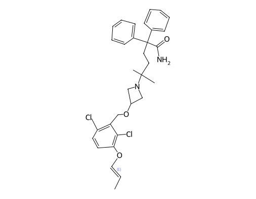 C/C=C/Oc1ccc(Cl)c(COC2CN(C(C)(C)CCC(C(N)=O)(c3ccccc3)c3ccccc3)C2)c1Cl